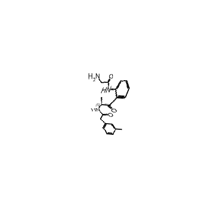 Cc1cccc(CC(=O)N[C@@H](C)C(=O)c2ccccc2NC(=O)CN)c1